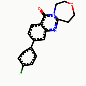 O=c1c2ccc(-c3ccc(F)cc3)cc2nc2n1CCOCC2